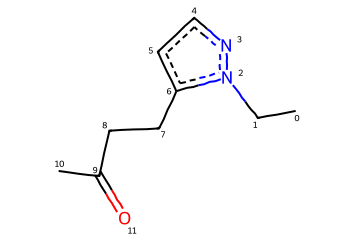 CCn1nccc1CCC(C)=O